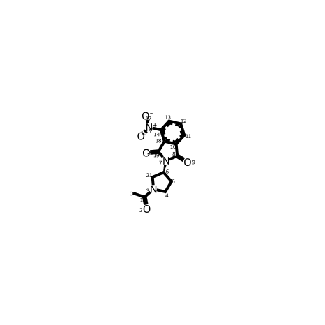 CC(=O)N1CC[C@H](N2C(=O)c3cccc([N+](=O)[O-])c3C2=O)C1